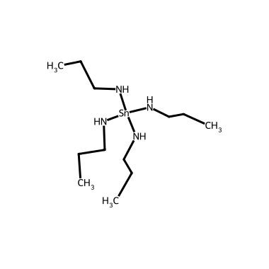 CCC[NH][Sn]([NH]CCC)([NH]CCC)[NH]CCC